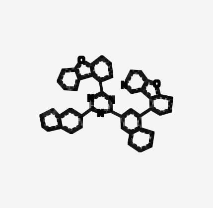 c1ccc2cc(-c3nc(-c4cc(-c5cccc6oc7ccncc7c56)c5ccccc5c4)nc(-c4cccc5oc6ccccc6c45)n3)ccc2c1